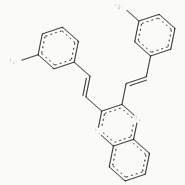 N#Cc1cccc(C=Cc2nc3ccccc3nc2C=Cc2cccc(C#N)c2)c1